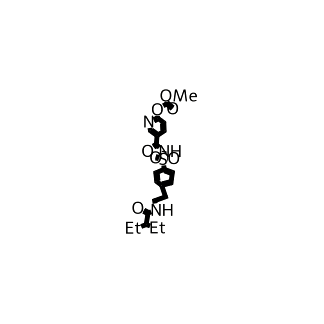 CCC(CC)C(=O)NCCc1ccc(S(=O)(=O)NC(=O)c2ccc(OC(=O)OC)nc2)cc1